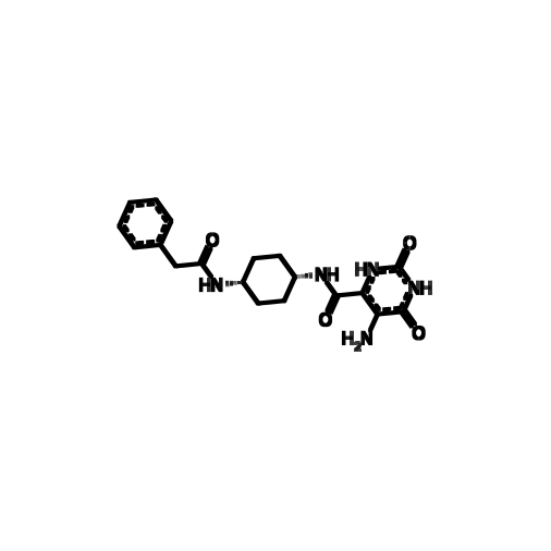 Nc1c(C(=O)N[C@H]2CC[C@@H](NC(=O)Cc3ccccc3)CC2)[nH]c(=O)[nH]c1=O